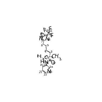 CC(C)(CCCCc1noc(C(F)(F)F)n1)C(=O)Nc1cccnc1